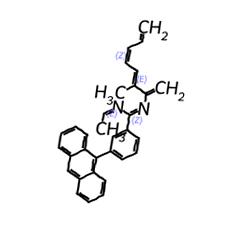 C=C/C=C\C=C(/C)C(=C)/N=C(\N=C/C)c1cccc(-c2c3ccccc3cc3ccccc23)c1